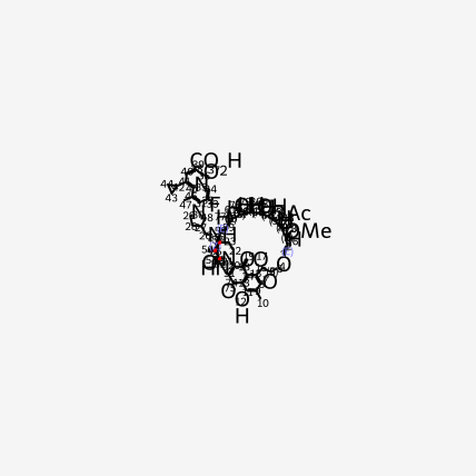 CO[C@H]1/C=C/O[C@@]2(C)Oc3c(C)c(O)c4c(c3C2=O)C(=O)C(N2CCC(NCC3CCN(c5c(F)cn6c(=O)c(C(=O)O)cc(C7CC7)c6c5C)C3)CC2)=C(NC(=O)/C(C)=C\C=C\[C@H](C)[C@H](O)[C@@H](C)[C@@H](O)[C@@H](C)[C@H](OC(C)=O)[C@@H]1C)C4=O